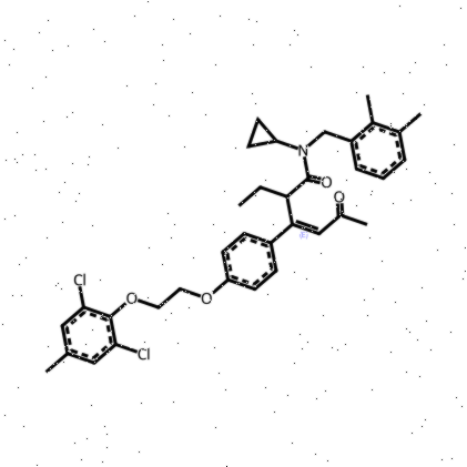 CCC(C(=O)N(Cc1cccc(C)c1C)C1CC1)/C(=C\C(C)=O)c1ccc(OCCOc2c(Cl)cc(C)cc2Cl)cc1